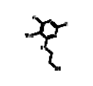 COc1c(Cl)nc(Cl)nc1NCCO